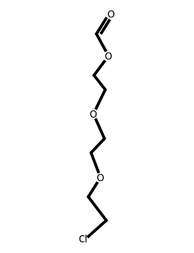 O=COCCOCCOCCCl